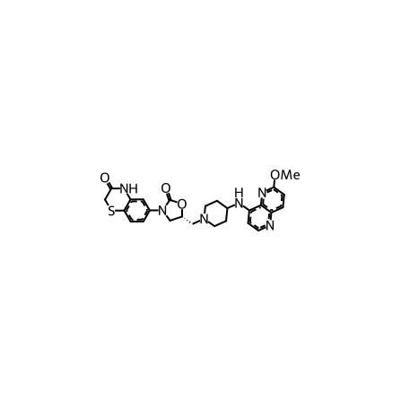 COc1ccc2nccc(NC3CCN(C[C@@H]4CN(c5ccc6c(c5)NC(=O)CS6)C(=O)O4)CC3)c2n1